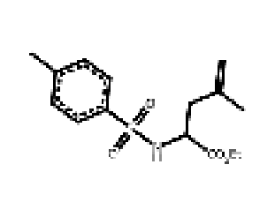 C=C(C)CC(NS(=O)(=O)c1ccc(C)cc1)C(=O)OCC